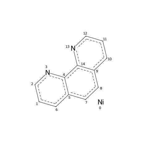 [Ni].c1cnc2c(c1)ccc1cccnc12